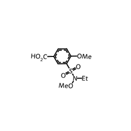 CCN(OC)S(=O)(=O)c1cc(C(=O)O)ccc1OC